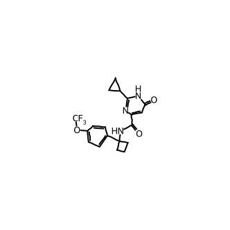 O=C(NC1(c2ccc(OC(F)(F)F)cc2)CCC1)c1cc(=O)[nH]c(C2CC2)n1